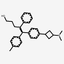 Cc1ccc(/C(=C(\CCCO)c2ccccc2)c2ccc(C3CC(N(C)C)C3)cc2)cc1